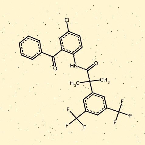 CC(C)(C(=O)Nc1ccc(Cl)cc1C(=O)c1ccccc1)c1cc(C(F)(F)F)cc(C(F)(F)F)c1